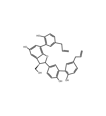 C=CCc1ccc(O)c(-c2cc(C3Oc4c(-c5cc(CC=C)ccc5O)cc(O)cc4[C@@H]3CO)ccc2O)c1